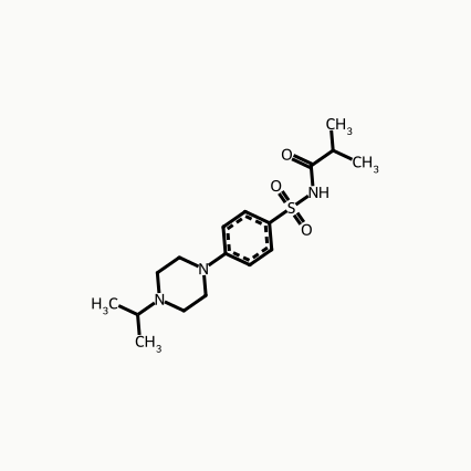 CC(C)C(=O)NS(=O)(=O)c1ccc(N2CCN(C(C)C)CC2)cc1